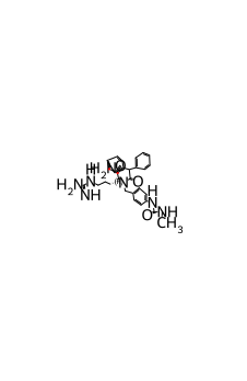 CNC(=O)Nc1ccc(CN(C(=O)C(c2ccccc2)c2ccccc2)[C@H](CCCNC(=N)N)C(N)=O)cc1